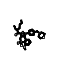 CCCCC(CC)C(=O)c1nn(-c2ccc(CN3CCOCC3)cc2)c2c1CS(=O)(=O)c1c(OC)cccc1-2